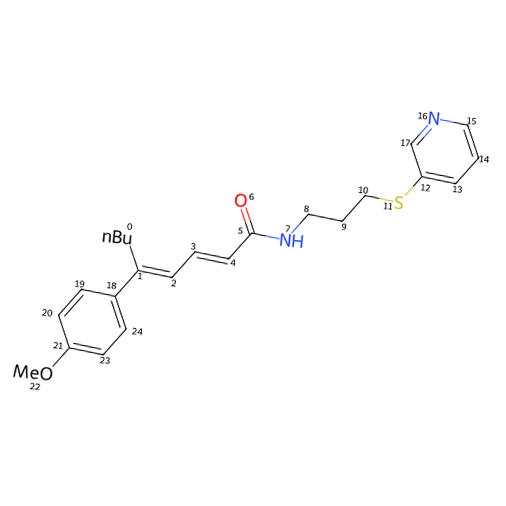 CCCC/C(=C\C=C\C(=O)NCCCSc1cccnc1)c1ccc(OC)cc1